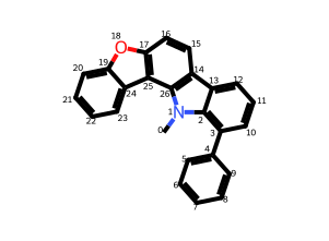 Cn1c2c(-c3ccccc3)cccc2c2ccc3oc4ccccc4c3c21